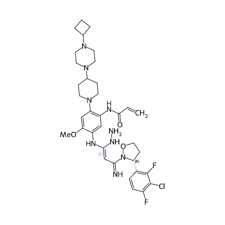 C=CC(=O)Nc1cc(N/C(=C/C(=N)N2OCC[C@@H]2c2ccc(F)c(Cl)c2F)NN)c(OC)cc1N1CCC(N2CCN(C3CCC3)CC2)CC1